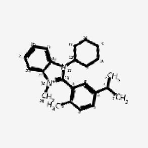 Cc1ccc(C(C)C)cc1-c1n(C2CCCCC2)c2ccccc2[n+]1C